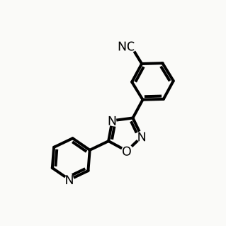 N#Cc1cccc(-c2noc(-c3cccnc3)n2)c1